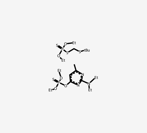 CCOP(=S)(OCC)Oc1cc(C)nc(N(CC)CC)n1.CCOP(=S)(OCC)SCSC(C)(C)C